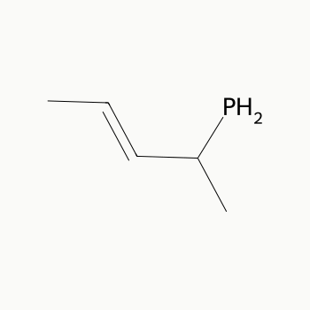 CC=CC(C)P